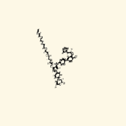 COCCOCCOCCOCCOCCOCCOc1nn(C2CCC(N3C[C@@H](C)O[C@@H](C)C3)CC2)cc1Nc1ncc(-c2ccc(Cl)c(O[C@@H](C)Cn3cnnn3)c2)cn1